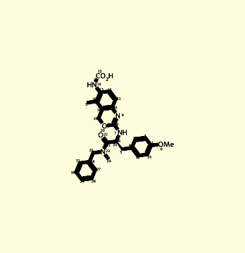 COc1ccc(C[C@H](NC2=Nc3ccc(NC(=O)O)c(C)c3CO2)C(=O)N(C)Cc2ccccc2)cc1